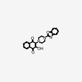 O=C1C(O)=C(N2CCN(c3nc4ccccc4o3)CC2)C(=O)c2ccccc21